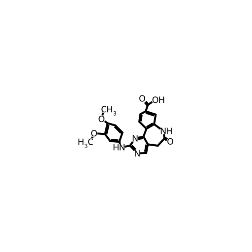 COc1ccc(Nc2ncc3c(n2)-c2ccc(C(=O)O)cc2NC(=O)C3)cc1OC